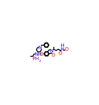 CC(P)CNC1CCN(Cc2ccccc2)CC1Oc1ccc2c(c1)CN(C(C)CCC(=O)NC=O)C2=O